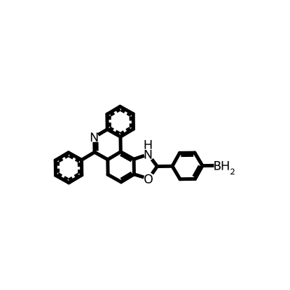 BC1=CCC(C2NC3=C4c5ccccc5N=C(c5ccccc5)C4CC=C3O2)C=C1